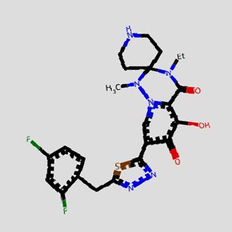 CCN1C(=O)c2c(O)c(=O)c(-c3nnc(Cc4ccc(F)cc4F)s3)cn2N(C)C12CCNCC2